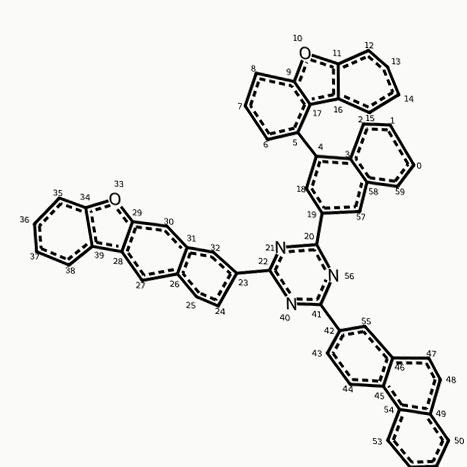 c1ccc2c(-c3cccc4oc5ccccc5c34)cc(-c3nc(-c4ccc5cc6c(cc5c4)oc4ccccc46)nc(-c4ccc5c(ccc6ccccc65)c4)n3)cc2c1